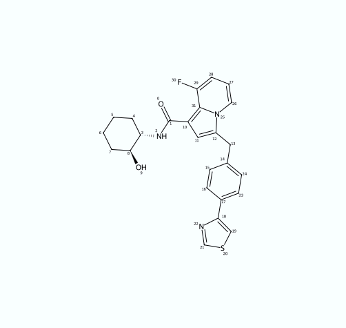 O=C(N[C@H]1CCCC[C@@H]1O)c1cc(Cc2ccc(-c3cscn3)cc2)n2cccc(F)c12